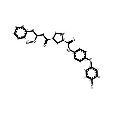 CCOC(CC(=O)[C@H]1CN[C@@H](C(=O)Nc2ccc(Oc3ccc(F)cc3)cc2)C1)Cc1ccccc1